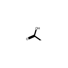 [CH]C(=O)O